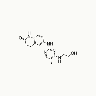 Cc1cnc(Nc2ccc3c(c2)CCC(=O)N3)nc1NCCO